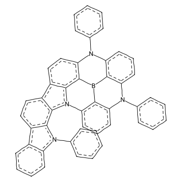 c1ccc(N2c3cccc4c3B3c5c2cccc5-n2c5c3c(ccc5c3ccc5c6ccccc6n(-c6ccccc6)c5c32)N4c2ccccc2)cc1